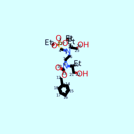 CCOP(=O)(CN(CCN(C(=O)OCc1ccccc1)[C@@H](CC)CO)[C@@H](CC)CO)OCC